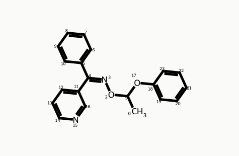 CC(ON=C(c1ccccc1)c1cccnc1)Oc1ccccc1